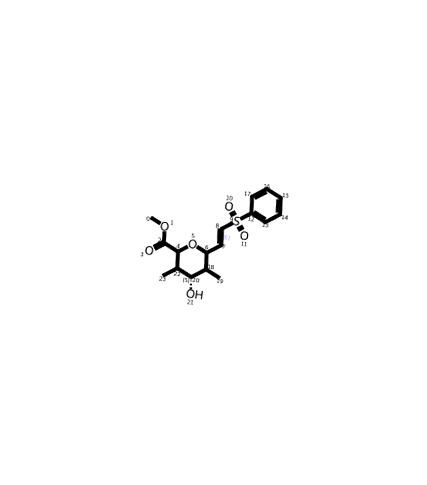 COC(=O)C1OC(/C=C/S(=O)(=O)c2ccccc2)C(C)[C@H](O)C1C